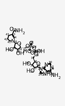 NC(=O)C1=CN([C@@H]2O[C@H](COP(=O)(O)OP(=O)(O)OC[C@H]3O[C@@H]([n+]4c[nH]c5c(N)ncnc54)[C@H](O)[C@@H]3O)[C@@H](O)[C@H]2O)CCC1